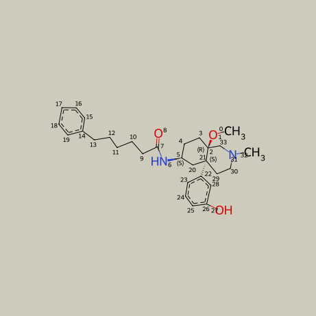 CO[C@]12CC[C@H](NC(=O)CCCCCc3ccccc3)C[C@]1(c1cccc(O)c1)CCN(C)C2